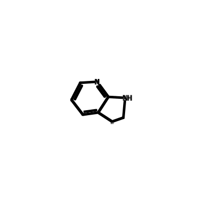 [C]1CNc2ncccc21